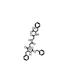 O=C(CNC(=O)C(Cc1ccccc1)NC(=O)OCc1ccccc1)NCC(=O)NC(Cc1ccccc1)C(=O)O